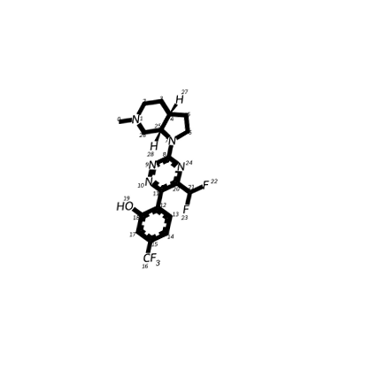 CN1CC[C@@H]2CCN(c3nnc(-c4ccc(C(F)(F)F)cc4O)c(C(F)F)n3)[C@@H]2C1